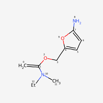 C=C(OCc1ccc(N)o1)N(C)CC